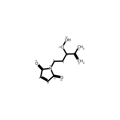 C=C(C)C(CCN1C(=O)C=CC1=O)OO